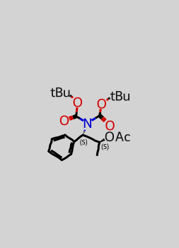 CC(=O)O[C@@H](C)[C@H](c1ccccc1)N(C(=O)OC(C)(C)C)C(=O)OC(C)(C)C